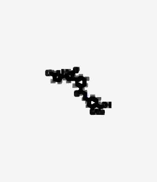 COc1cc(/C=C/C(=O)c2cccc(-n3cc(-c4ccc(Cl)s4)[nH]c3=O)c2)ccc1CO